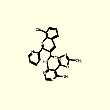 Cc1nnc(-c2c(N)ncnc2NC(C)c2cc3cccc(Cl)c3nc2-c2ccccn2)o1